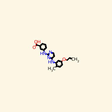 C=CCOc1ccc(C)c(Nc2ccnc(Nc3cccc(C(=O)O)c3)n2)c1